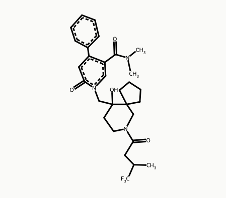 CC(CC(=O)N1CCC(O)(Cn2cc(C(=O)N(C)C)c(-c3ccccc3)cc2=O)C2(CCCC2)C1)C(F)(F)F